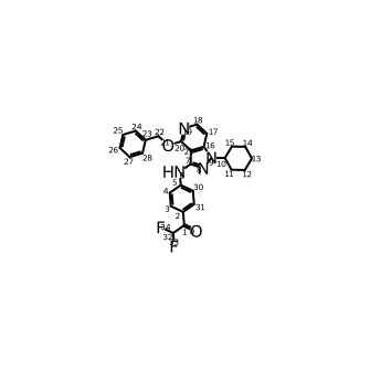 O=C(c1ccc(Nc2nn(C3CCCCC3)c3ccnc(OCc4ccccc4)c23)cc1)C(F)F